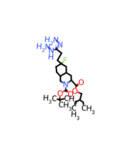 CCC(CC)COC(=O)C1CC2CC(F)(CC/C(=N/N)NN)CCC2CN1C(=O)OC(C)(C)C